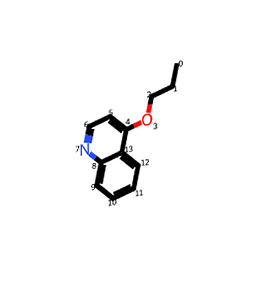 CCCOc1ccnc2ccccc12